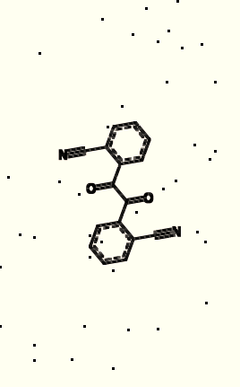 N#Cc1ccccc1C(=O)C(=O)c1ccccc1C#N